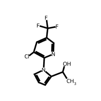 CC(O)c1cccn1-c1ncc(C(F)(F)F)cc1Cl